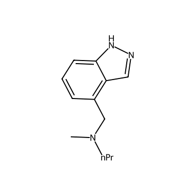 CCCN(C)Cc1cccc2[nH]ncc12